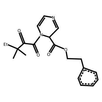 CCC(C)(C)C(=O)C(=O)N1C=CN=CC1C(=O)OCCc1ccccc1